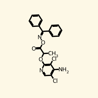 CC(Oc1ncc(Cl)c(N)c1Cl)C(=O)ON=C(c1ccccc1)c1ccccc1